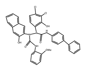 COc1ccccc1NC(=O)N(c1cc2ccccc2cc1O)N(C(=O)Nc1ccc(-c2ccccc2)cc1)c1ccc(Cl)c(Cl)c1O